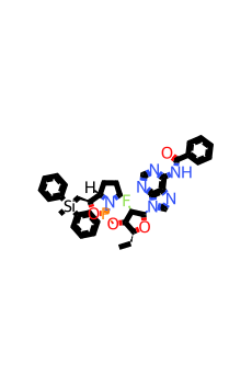 CC[C@H]1O[C@@H](n2cnc3c(NC(=O)c4ccccc4)ncnc32)[C@@H](F)C1O[P@]1O[C@@H](C[Si](C)(c2ccccc2)c2ccccc2)[C@H]2CCCN21